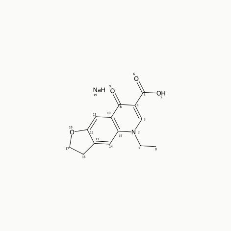 CCn1cc(C(=O)O)c(=O)c2cc3c(cc21)CCO3.[NaH]